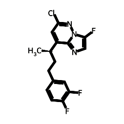 C[C@H](CCc1ccc(F)c(F)c1)c1cc(Cl)nn2c(F)cnc12